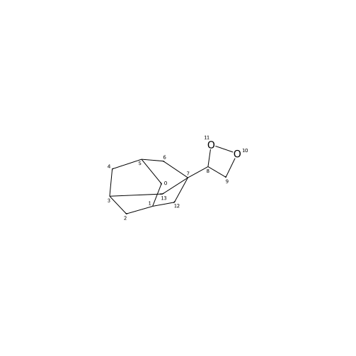 C1C2CC3CC1CC(C1COO1)(C2)C3